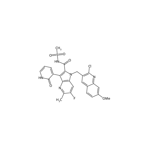 COc1ccc2cc(Cn3c(C(=O)NS(C)(=O)=O)c(-c4ccc[nH]c4=O)c4nc(C)c(F)cc43)c(Cl)nc2c1